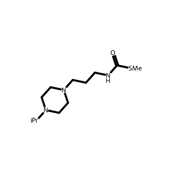 CSC(=O)NCCCN1CCN(C(C)C)CC1